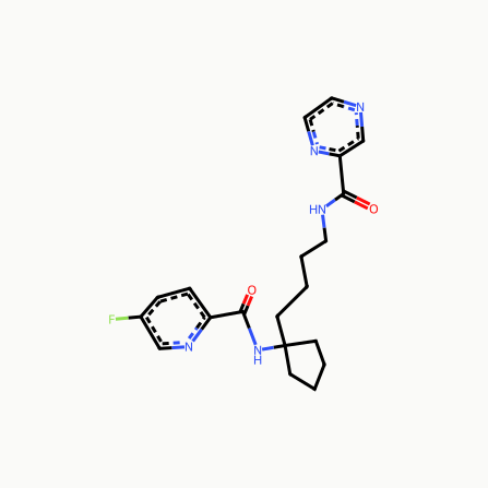 O=C(NCCCCC1(NC(=O)c2ccc(F)cn2)CCCC1)c1cnccn1